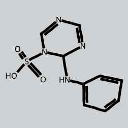 O=S(=O)(O)N1C=NC=NC1Nc1ccccc1